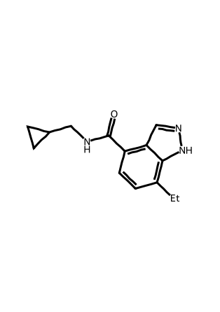 CCc1ccc(C(=O)NCC2CC2)c2cn[nH]c12